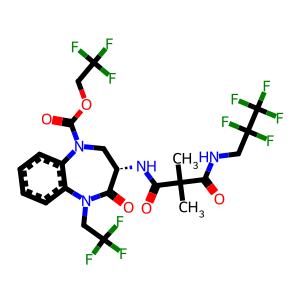 CC(C)(C(=O)NCC(F)(F)C(F)(F)F)C(=O)N[C@H]1CN(C(=O)OCC(F)(F)F)c2ccccc2N(CC(F)(F)F)C1=O